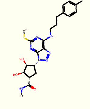 CCCSc1nc(NCCCc2ccc(C)cc2)c2nnn([C@@H]3C[C@H](C(=O)NCC)[C@@H](O)[C@H]3O)c2n1